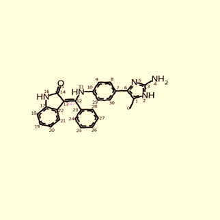 Cc1[nH]c(N)nc1-c1ccc(N/C(=C2\C(=O)Nc3ccccc32)c2ccccc2)cc1